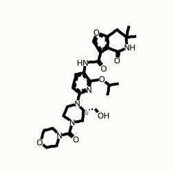 CC(C)Oc1nc(N2CCN(C(=O)N3CCOCC3)C[C@H]2CO)ccc1NC(=O)c1coc2c1C(=O)NC(C)(C)C2